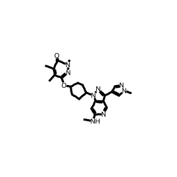 CNc1cc2c(cn1)c(-c1cnn(C)c1)nn2C1CCC(Oc2nn(C)c(=O)c(C)c2C)CC1